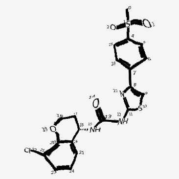 CS(=O)(=O)c1ccc(-c2csc(NC(=O)N[C@H]3CCOc4c(Cl)cccc43)n2)cc1